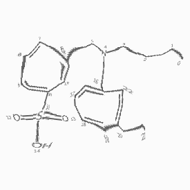 CCCCN(Cc1cccc(S(=O)(=O)O)c1)c1cccc(C)c1